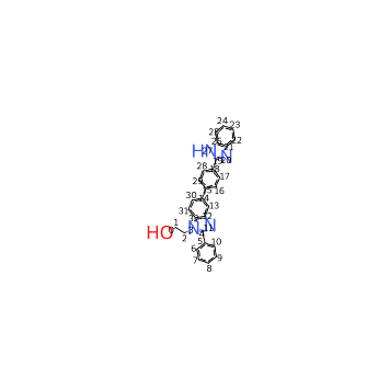 OCCn1c(-c2ccccc2)nc2cc(-c3ccc(-c4nc5ccccc5[nH]4)cc3)ccc21